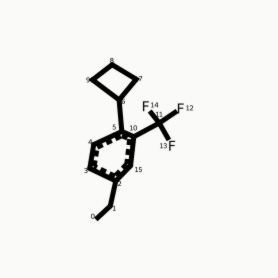 CCc1ccc(C2CCC2)c(C(F)(F)F)c1